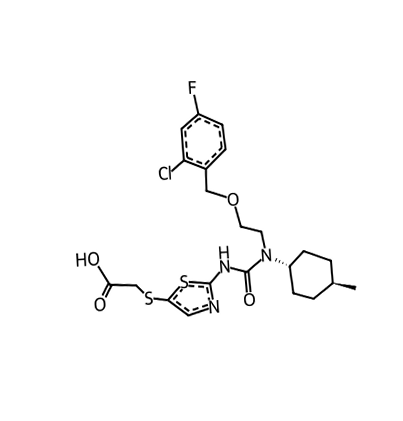 C[C@H]1CC[C@H](N(CCOCc2ccc(F)cc2Cl)C(=O)Nc2ncc(SCC(=O)O)s2)CC1